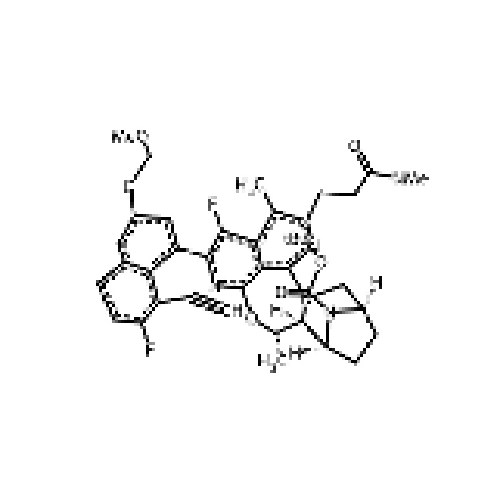 C#Cc1c(F)ccc2cc(OCOC)cc(-c3nc4c5c(nc(CCC(=O)NC)c(C)c5c3F)N3C[C@H]5CC[C@@H]([C@H]3[C@H](C)O4)N5C(=O)OC(C)(C)C)c12